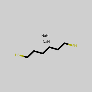 SCCCCCCS.[NaH].[NaH]